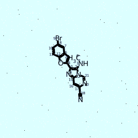 CNc1c(-c2cc3cc(Br)ccc3o2)nc2cc(C#N)ncn12